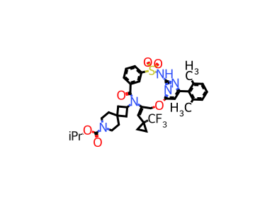 Cc1cccc(C)c1-c1cc2nc(n1)NS(=O)(=O)c1cccc(c1)C(=O)N(C1CC3(CCN(C(=O)OC(C)C)CC3)C1)/C(=C/C1(C(F)(F)F)CC1)CO2